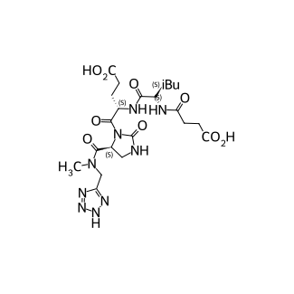 CC[C@H](C)[C@H](NC(=O)CCC(=O)O)C(=O)N[C@@H](CCC(=O)O)C(=O)N1C(=O)NC[C@H]1C(=O)N(C)Cc1nn[nH]n1